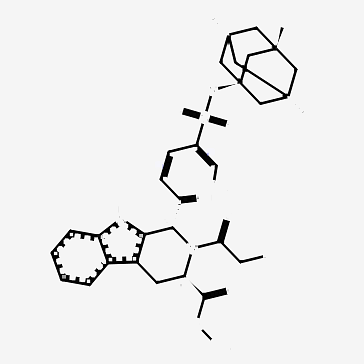 C=C(/C=C\C(=C/C)S(=O)(=O)N[C@]12C[C@H]3C[C@H](C[C@H](C3)C1)C2)[C@H]1c2[nH]c3ccccc3c2C[C@H](C(=O)OC)N1C(=O)CCl